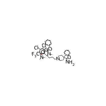 CN(C[C@](CCCN1CCC(C(N)=O)(c2ccccc2)CC1)(c1ccc(Cl)c(Cl)c1)N(C)C(=O)Oc1ccccc1)C(=O)C(F)(F)F